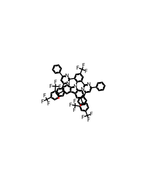 FC(F)(F)c1cc(-c2nc(-c3ccccc3)cc(-c3ccccc3)n2)c(-n2c3ccc(-c4ccc(C(F)(F)F)cc4C(F)(F)F)cc3c3cc(-c4ccc(C(F)(F)F)cc4C(F)(F)F)ccc32)c(-c2nc(-c3ccccc3)cc(-c3ccccc3)n2)c1